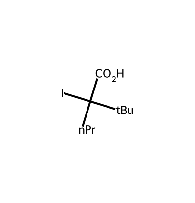 CCCC(I)(C(=O)O)C(C)(C)C